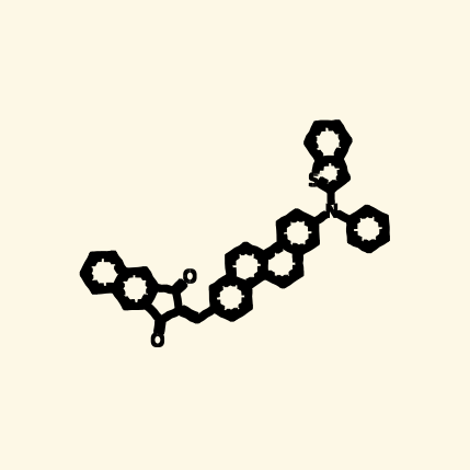 O=C1C(=Cc2ccc3c(ccc4c5ccc(N(c6ccccc6)c6cc7ccccc7s6)cc5ccc34)c2)C(=O)c2cc3ccccc3cc21